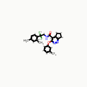 Cc1ccc(C(F)(F)CNC(=O)c2c(Oc3cccc(C(F)(F)F)c3)nnc3c2CCC3)c(C)c1